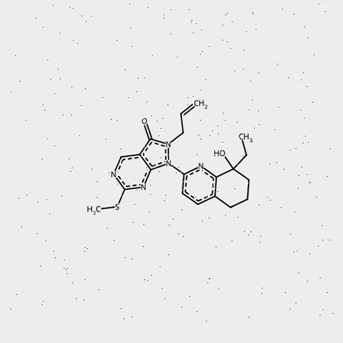 C=CCn1c(=O)c2cnc(SC)nc2n1-c1ccc2c(n1)C(O)(CC)CCC2